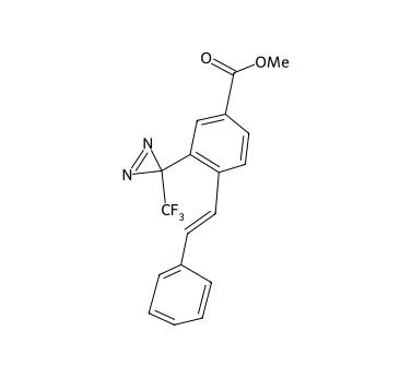 COC(=O)c1ccc(C=Cc2ccccc2)c(C2(C(F)(F)F)N=N2)c1